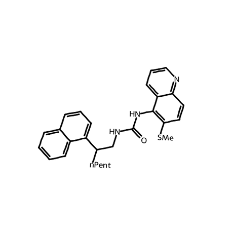 CCCCCC(CNC(=O)Nc1c(SC)ccc2ncccc12)c1cccc2ccccc12